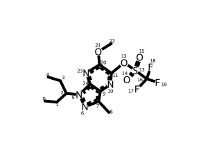 CCC(CC)n1nc(C)c2nc(OS(=O)(=O)C(F)(F)F)c(OC)nc21